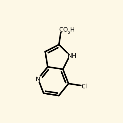 O=C(O)c1cc2nccc(Cl)c2[nH]1